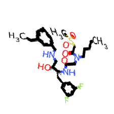 CCCCCN(CC(=O)N[C@@H](Cc1cc(F)cc(F)c1)[C@H](O)CNCc1cccc(CC)c1)C(=O)CS(C)(=O)=O